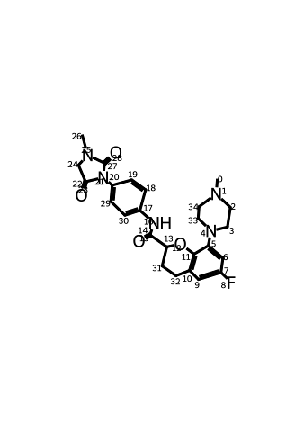 CN1CCN(c2cc(F)cc3c2OC(C(=O)Nc2ccc(N4C(=O)CN(C)C4=O)cc2)CC3)CC1